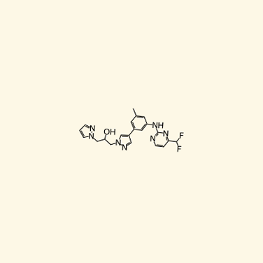 Cc1cc(Nc2nccc(C(F)F)n2)cc(-c2cnn(CC(O)Cn3cccn3)c2)c1